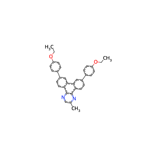 CCOc1ccc(-c2ccc3c(c2)c2cc(-c4ccc(OCC)cc4)ccc2c2nc(C)cnc32)cc1